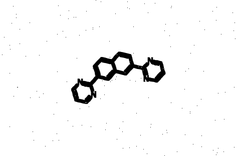 c1cnc(-c2ccc3ccc(-c4ncccn4)cc3c2)nc1